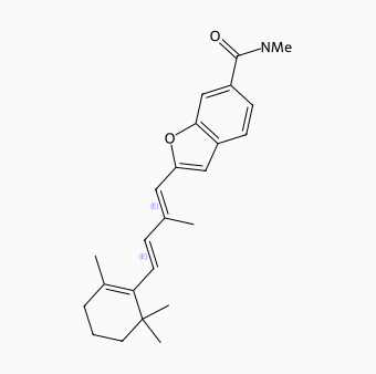 CNC(=O)c1ccc2cc(/C=C(C)/C=C/C3=C(C)CCCC3(C)C)oc2c1